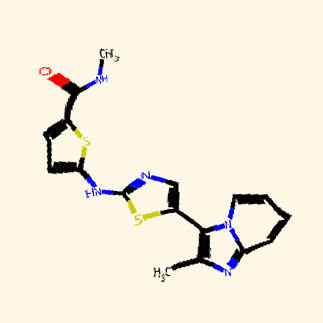 CNC(=O)c1ccc(Nc2ncc(-c3c(C)nc4ccccn34)s2)s1